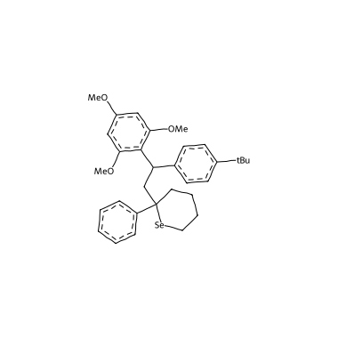 COc1cc(OC)c(C(CC2(c3ccccc3)CCCC[Se]2)c2ccc(C(C)(C)C)cc2)c(OC)c1